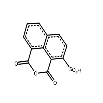 O=C1OC(=O)c2c(S(=O)(=O)O)ccc3cccc1c23